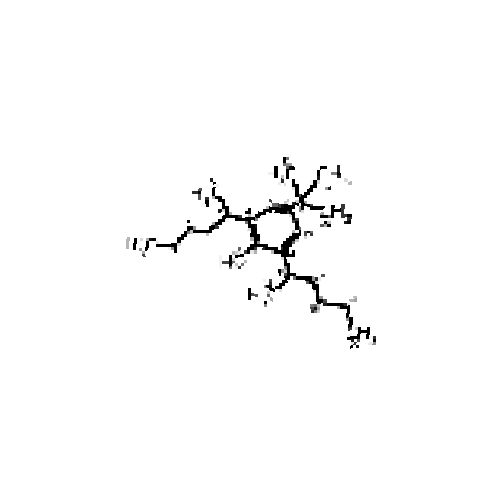 CCCCC(C)c1cc(C(C)(C)C)cc(C(C)CCCC)c1O